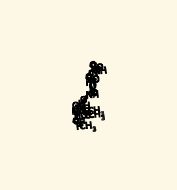 CC(C)(C)OC(=O)Nc1cc(-c2cccc(C(C)(F)F)c2)cnc1C(=O)NCCOCCNCC(=O)N1CCN(C(=O)c2cc(Cc3n[nH]c(=O)c4ccccc34)ccc2F)CC1